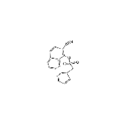 N#Cc1ccc2ccccc2c1OS(=O)(=O)Cc1ccccc1